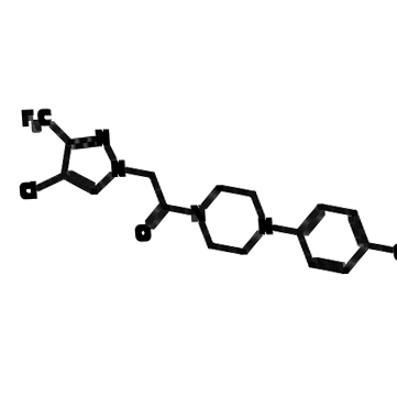 O=C(Cn1cc(Cl)c(C(F)(F)F)n1)N1CCN(c2ccc(Cl)cc2)CC1